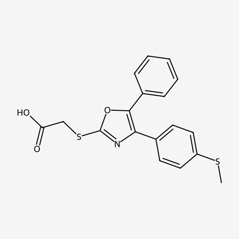 CSc1ccc(-c2nc(SCC(=O)O)oc2-c2ccccc2)cc1